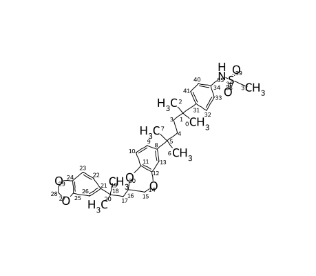 CC(C)(CCC(C)(C)c1ccc2c(c1)OCC(CC(C)(C)c1ccc3c(c1)OCO3)O2)c1ccc(NS(C)(=O)=O)cc1